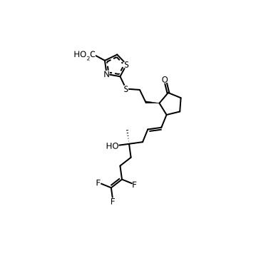 C[C@](O)(CC=CC1CCC(=O)[C@@H]1CCSc1nc(C(=O)O)cs1)CCC(F)=C(F)F